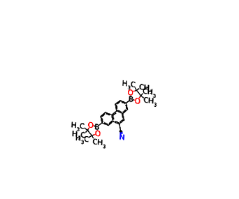 CC1(C)OB(c2ccc3c(c2)cc(C#N)c2cc(B4OC(C)(C)C(C)(C)O4)ccc23)OC1(C)C